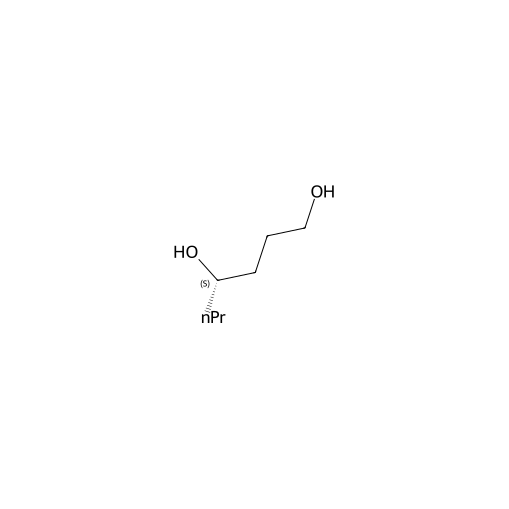 CCC[C@H](O)CCCO